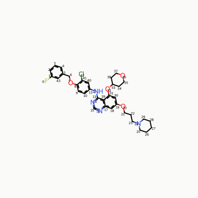 Fc1cccc(COc2ccc(Nc3ncnc4cc(OCCCN5CCCCC5)cc(OC5CCOCC5)c34)cc2Cl)c1